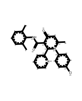 Cc1cccc(C)c1NC(=O)c1c(-c2ccccn2)n(-c2ccc(Cl)cc2)c(C)cc1=O